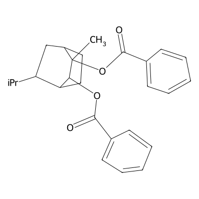 CC(C)C1CC2CCC1C(OC(=O)c1ccccc1)C2(C)OC(=O)c1ccccc1